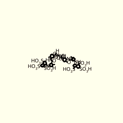 Cc1ccc(S(=O)(=O)NC(=O)NS(=O)(=O)c2ccc(C)c(NC(=O)c3cc(Nc4ccc(S(=O)(=O)O)c5cc(S(=O)(=O)O)cc(S(=O)(=O)O)c45)ccc3C)c2)cc1NC(=O)c1cc(Nc2ccc(S(=O)(=O)O)c3cc(S(=O)(=O)O)cc(S(=O)(=O)O)c23)ccc1C